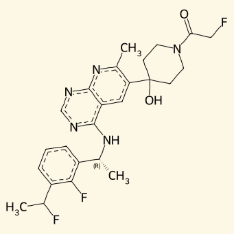 Cc1nc2ncnc(N[C@H](C)c3cccc(C(C)F)c3F)c2cc1C1(O)CCN(C(=O)CF)CC1